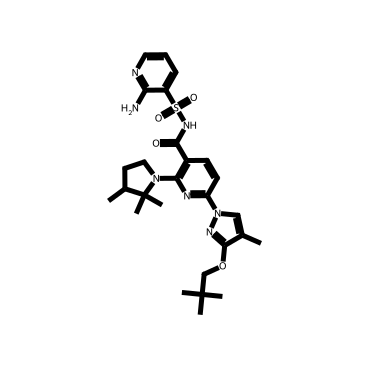 Cc1cn(-c2ccc(C(=O)NS(=O)(=O)c3cccnc3N)c(N3CCC(C)C3(C)C)n2)nc1OCC(C)(C)C